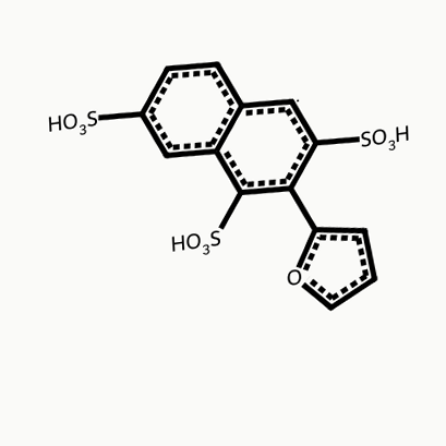 O=S(=O)(O)c1ccc2[c]c(S(=O)(=O)O)c(-c3ccco3)c(S(=O)(=O)O)c2c1